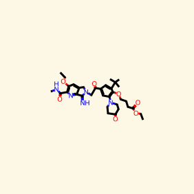 CCOC(=O)CCCOc1c(N2CCC(=O)CC2)cc(C(=O)CN2Cc3cc(OCC)c(C(=O)NC)nc3C2=N)cc1C(C)(C)C